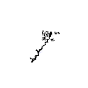 CC(C)=CCC/C(C)=C/CCCCC([PH](=O)CO)P(=O)(O)O